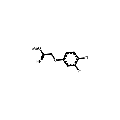 COC(=N)COc1ccc(Cl)c(Cl)c1